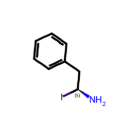 N[C@@H](I)Cc1ccccc1